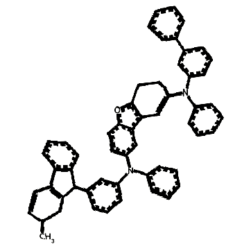 CC1C=CC2=C(C1)C(c1cccc(N(c3ccccc3)c3ccc4oc5c(c4c3)C=C(N(c3ccccc3)c3cccc(-c4ccccc4)c3)CC5)c1)c1ccccc12